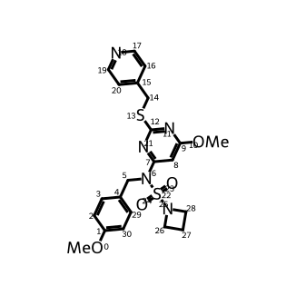 COc1ccc(CN(c2cc(OC)nc(SCc3ccncc3)n2)S(=O)(=O)N2CCC2)cc1